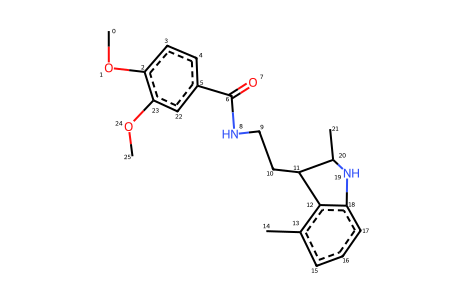 COc1ccc(C(=O)NCCC2c3c(C)cccc3NC2C)cc1OC